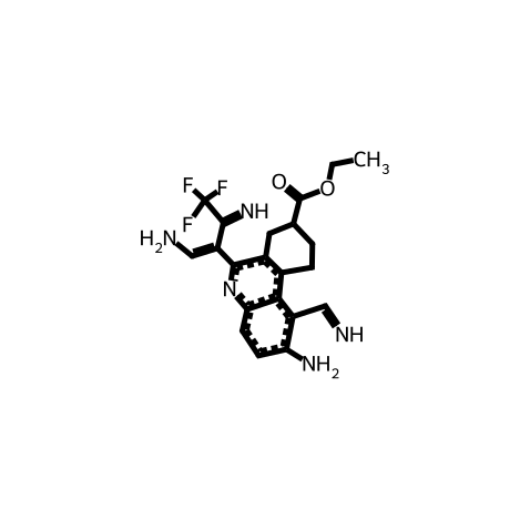 CCOC(=O)C1CCc2c(c(/C(=C/N)C(=N)C(F)(F)F)nc3ccc(N)c(C=N)c23)C1